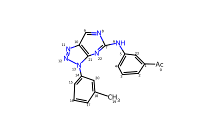 CC(=O)c1cccc(Nc2ncc3nnn(-c4cccc(C)c4)c3n2)c1